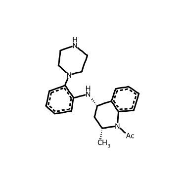 CC(=O)N1c2ccccc2[C@@H](Nc2ccccc2N2CCNCC2)C[C@H]1C